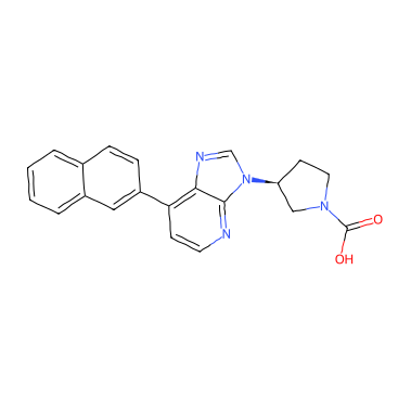 O=C(O)N1CC[C@H](n2cnc3c(-c4ccc5ccccc5c4)ccnc32)C1